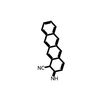 N#CC1C(=N)C=Cc2cc3cc4ccccc4cc3cc21